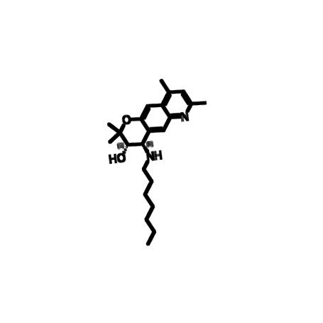 CCCCCCCN[C@@H]1c2cc3nc(C)cc(C)c3cc2OC(C)(C)[C@H]1O